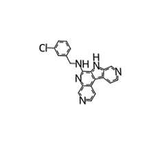 Clc1cccc(CNc2nc3cnccc3c3c2[nH]c2cnccc23)c1